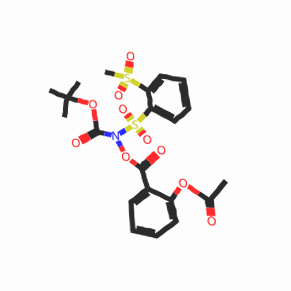 CC(=O)Oc1ccccc1C(=O)ON(C(=O)OC(C)(C)C)S(=O)(=O)c1ccccc1S(C)(=O)=O